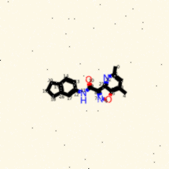 Cc1cc(C)c2onc(C(=O)Nc3ccc4c(c3)CCC4)c2n1